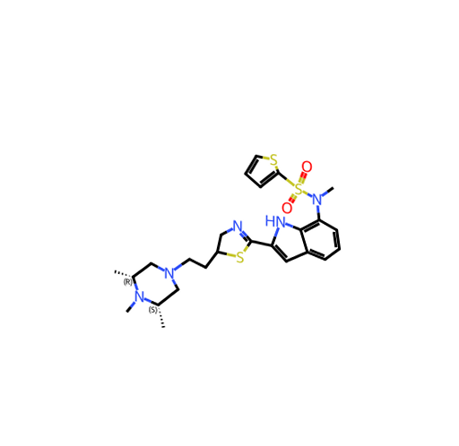 C[C@@H]1CN(CCC2CN=C(c3cc4cccc(N(C)S(=O)(=O)c5cccs5)c4[nH]3)S2)C[C@H](C)N1C